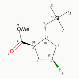 COC(=O)[C@@H]1C[C@H](F)C[C@H]1C[Si](C)(C)C